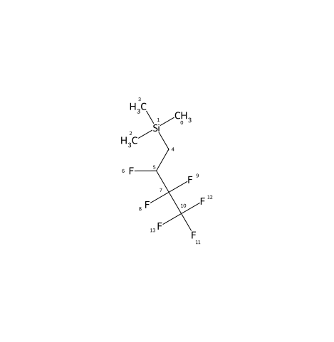 C[Si](C)(C)CC(F)C(F)(F)C(F)(F)F